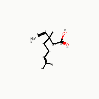 C=CC(C)(CCC=C(C)C)CC(=O)[O-].[Na+]